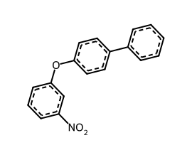 O=[N+]([O-])c1cccc(Oc2ccc(-c3ccccc3)cc2)c1